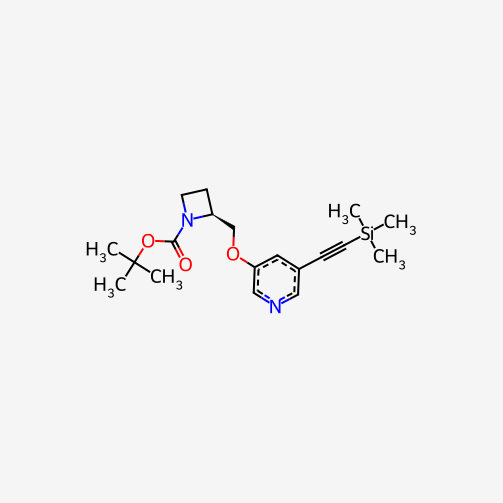 CC(C)(C)OC(=O)N1CC[C@H]1COc1cncc(C#C[Si](C)(C)C)c1